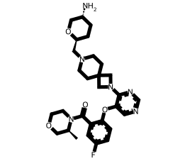 C[C@H]1COCCN1C(=O)c1cc(F)ccc1Oc1cncnc1N1CC2(CCN(C[C@@H]3CC[C@@H](N)CO3)CC2)C1